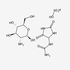 NC(=O)NC1NC(=O)NC1=O.N[C@@H]1[C@@H](O)[C@H](O)[C@@H](CO)O[C@H]1O.O=S(=O)(O)O